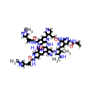 CNc1cncc(-c2cc3cc(NC(=O)[C@@H]4C[C@@H]4F)ncc3c(NOCCc3ccncc3-c3cc4cc(NC(=O)[C@H]5C[C@@H]5c5cnn(C)c5)ncc4c(NC(CO)c4ccncc4-c4cc5cc(NC(=O)[C@@H]6C[C@H]6c6cnn(C)c6)ncc5c(N)n4)n3)n2)c1C